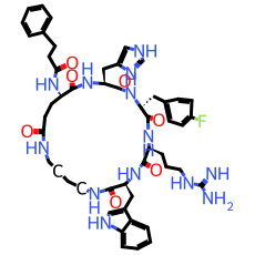 N=C(N)NCCC[C@@H]1NC(=O)[C@@H](Cc2ccc(F)cc2)NC(=O)[C@H](Cc2c[nH]cn2)NC(=O)[C@@H](NC(=O)CCc2ccccc2)CCC(=O)NCCCCNC(=O)[C@H](Cc2c[nH]c3ccccc23)NC1=O